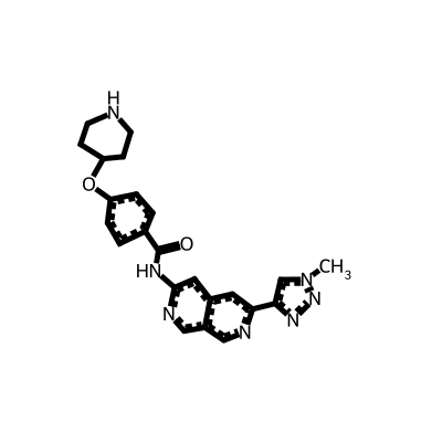 Cn1cc(-c2cc3cc(NC(=O)c4ccc(OC5CCNCC5)cc4)ncc3cn2)nn1